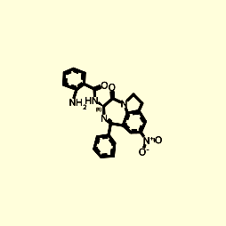 Nc1ccccc1C(=O)N[C@@H]1N=C(c2ccccc2)c2cc([N+](=O)[O-])cc3c2N(CC3)C1=O